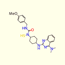 COc1ccc(CNC(=O)N(S)C2CCC(Nc3nc(N(C)C)c4ccccc4n3)CC2)cc1